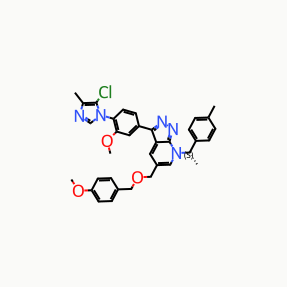 COc1ccc(COCc2cc3c(-c4ccc(-n5cnc(C)c5Cl)c(OC)c4)nnc-3n([C@@H](C)c3ccc(C)cc3)c2)cc1